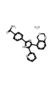 NC(=O)c1ccc(-c2nc(-c3cccc4c3COCO4)c(-c3ccccn3)[nH]2)cc1.O